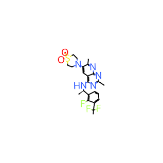 Cc1nc(N[C@H](C)c2cccc(C(C)(F)F)c2F)c2cc(N3CCS(=O)(=O)CC3)c(C)nc2n1